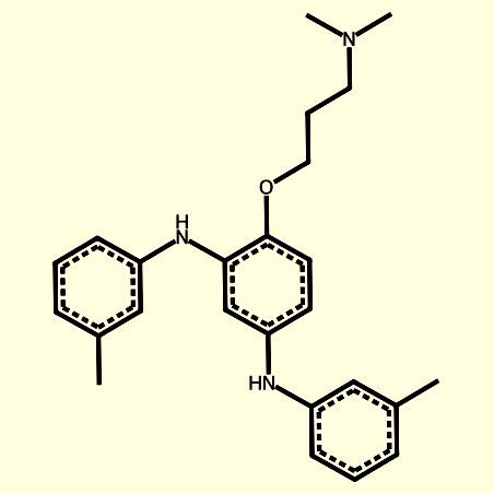 Cc1cccc(Nc2ccc(OCCCN(C)C)c(Nc3cccc(C)c3)c2)c1